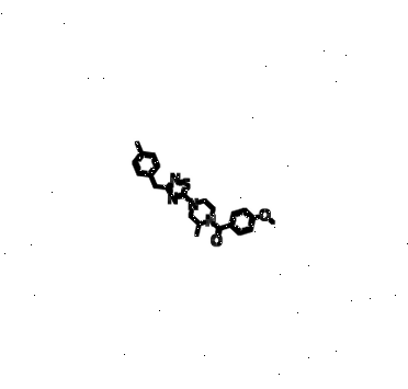 COc1ccc(C(=O)N2CCN(c3nc(Cc4ccc(C)cc4)ns3)CC2C)cc1